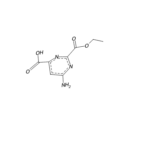 CCOC(=O)c1nc(N)cc(C(=O)O)n1